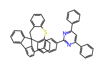 C1=CC2=C(CC1)Sc1ccccc1CC21c2ccccc2-c2cccc(-c3ccc(-c4nc(-c5ccccc5)cc(-c5ccccc5)n4)cc3)c21